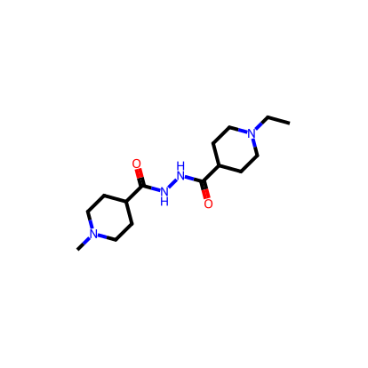 CCN1CCC(C(=O)NNC(=O)C2CCN(C)CC2)CC1